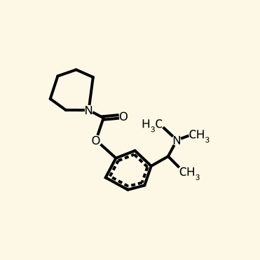 CC(c1cccc(OC(=O)N2CCCCC2)c1)N(C)C